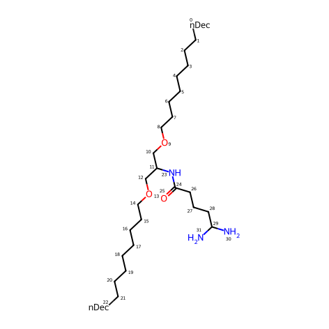 CCCCCCCCCCCCCCCCCCOCC(COCCCCCCCCCCCCCCCCCC)NC(=O)CCCC(N)N